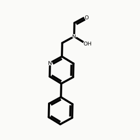 O=CN(O)Cc1ccc(-c2ccccc2)cn1